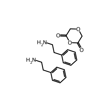 NCCc1ccccc1.NCCc1ccccc1.O=C1COCC(=O)O1